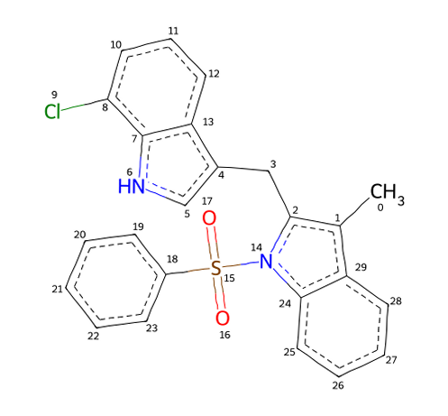 Cc1c(Cc2c[nH]c3c(Cl)cccc23)n(S(=O)(=O)c2ccccc2)c2ccccc12